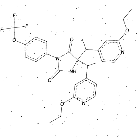 CCOc1cc(C(C)C2(C(C)c3ccnc(OCC)c3)NC(=O)N(c3ccc(OC(F)(F)F)cc3)C2=O)ccn1